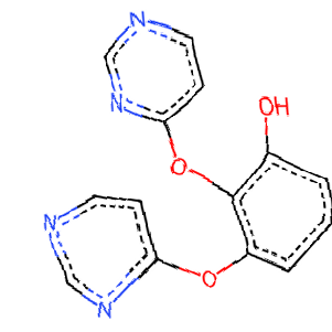 Oc1cccc(Oc2ccncn2)c1Oc1ccncn1